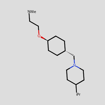 CNCCO[C@H]1CC[C@H](CN2CCC(C(C)C)CC2)CC1